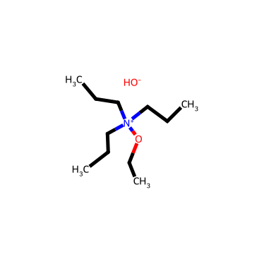 CCC[N+](CCC)(CCC)OCC.[OH-]